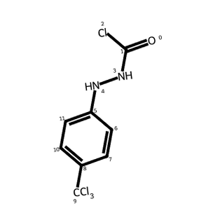 O=C(Cl)NNc1ccc(C(Cl)(Cl)Cl)cc1